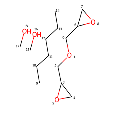 C(OCC1CO1)C1CO1.CCCCCC.CO.CO